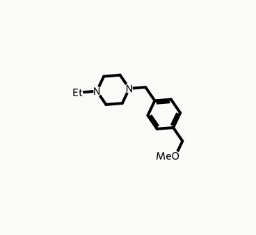 CCN1CCN(Cc2ccc(COC)cc2)CC1